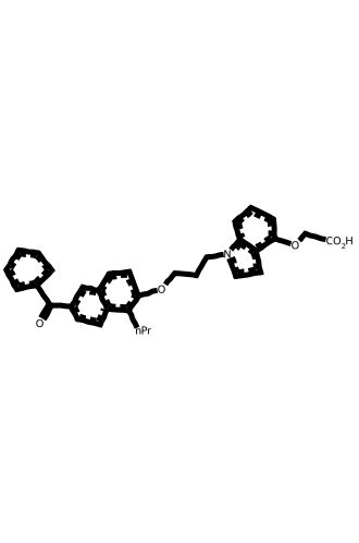 CCCc1c(OCCCn2ccc3c(OCC(=O)O)cccc32)ccc2cc(C(=O)c3ccccc3)ccc12